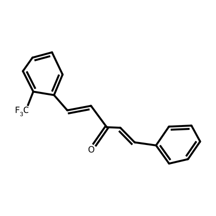 O=C(/C=C/c1ccccc1)/C=C/c1ccccc1C(F)(F)F